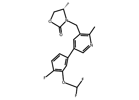 Cc1ncc(-c2ccc(F)c(OC(F)F)c2)cc1CN1C(=O)OC[C@@H]1C